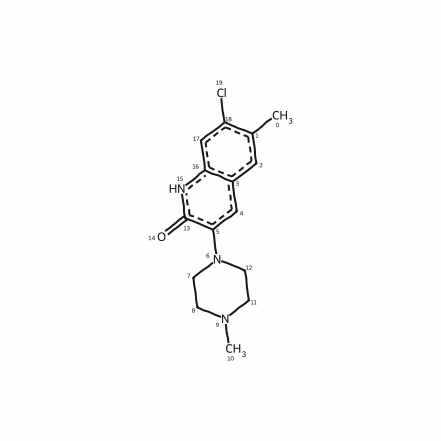 Cc1cc2cc(N3CCN(C)CC3)c(=O)[nH]c2cc1Cl